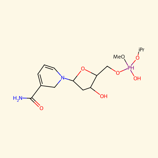 CO[PH](O)(OCC1OC(N2C=CC=C(C(N)=O)C2)CC1O)OC(C)C